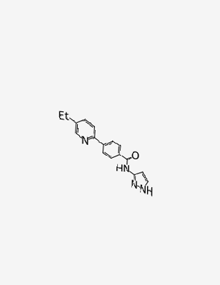 CCc1ccc(-c2ccc(C(=O)Nc3cc[nH]n3)cc2)nc1